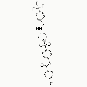 O=C(Nc1ccc(S(=O)(=O)N2CCC(NCc3ccc(C(F)(F)F)cc3)CC2)cc1)c1ccc(Cl)cc1